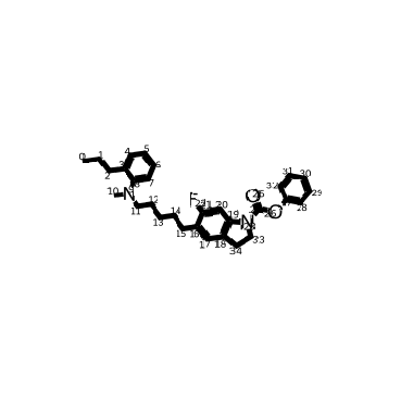 CCCc1ccccc1N(C)CCCCCc1cc2c(cc1F)N(C(=O)Oc1ccccc1)CC2